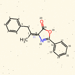 C/C(Cc1ccccc1)=C1\N=C(c2ccccc2)OC1=O